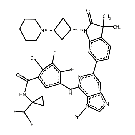 CC(C)n1cnc2cc(-c3ccc4c(c3)N([C@H]3C[C@@H](N5CCCCC5)C3)C(=O)C4(C)C)nc(Nc3cc(C(=O)NC4(C(F)F)CC4)c(Cl)c(F)c3F)c21